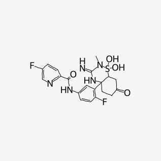 CN1C(=N)NC2(c3cc(NC(=O)c4ccc(F)cn4)ccc3F)CCC(=O)CC2S1(O)O